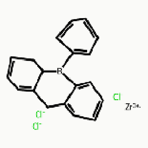 C1=CCC2B(c3ccccc3)c3ccccc3CC2=C1.[Cl-].[Cl-].[Cl-].[Zr+3]